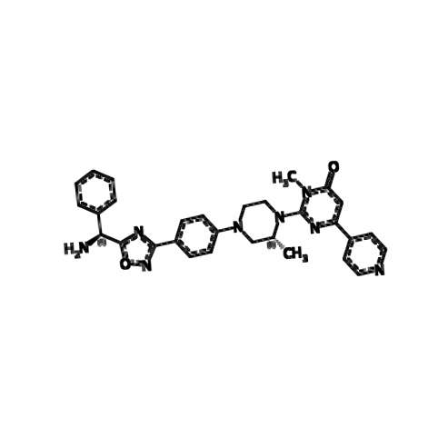 C[C@@H]1CN(c2ccc(-c3noc([C@@H](N)c4ccccc4)n3)cc2)CCN1c1nc(-c2ccncc2)cc(=O)n1C